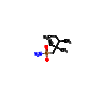 C=CC(C)C(C)(C)CS(N)(=O)=O